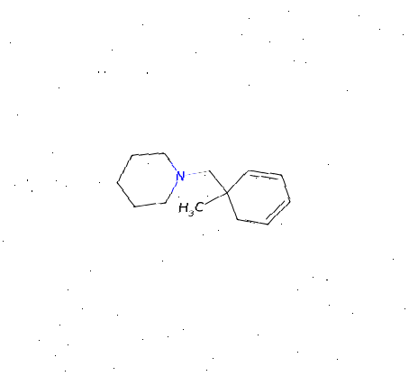 CC1(CN2CCCCC2)C=CC=CC1